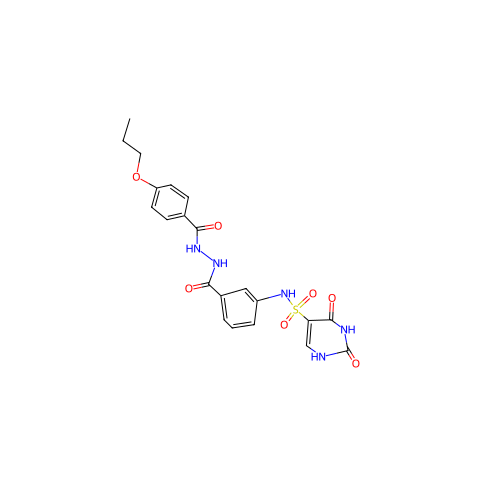 CCCOc1ccc(C(=O)NNC(=O)c2cccc(NS(=O)(=O)c3c[nH]c(=O)[nH]c3=O)c2)cc1